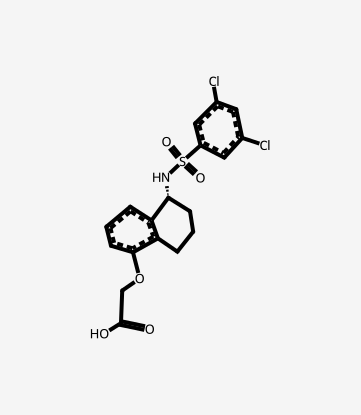 O=C(O)COc1cccc2c1CCC[C@H]2NS(=O)(=O)c1cc(Cl)cc(Cl)c1